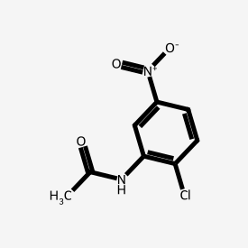 CC(=O)Nc1cc([N+](=O)[O-])ccc1Cl